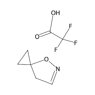 C1=NOC2(C1)CC2.O=C(O)C(F)(F)F